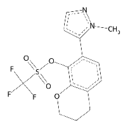 Cn1nccc1-c1ccc2c(c1OS(=O)(=O)C(F)(F)F)OCCC2